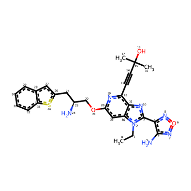 CCn1c(-c2nonc2N)nc2c(C#CC(C)(C)O)nc(OC[C@@H](N)Cc3cc4ccccc4s3)cc21